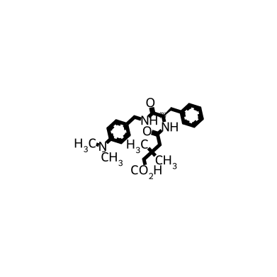 CN(C)c1ccc(CNC(=O)[C@@H](Cc2ccccc2)NC(=O)CC(C)(C)CC(=O)O)cc1